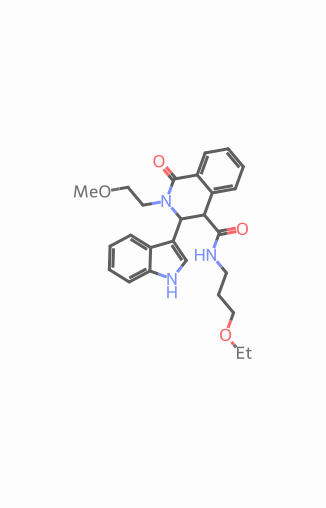 CCOCCCNC(=O)C1c2ccccc2C(=O)N(CCOC)C1c1c[nH]c2ccccc12